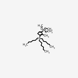 CCCCC[CH2][Pt]([CH2]CCCCC)([CH2]CCCCC)[C]1=C(C)C([Si](OC)(OC)OC)=CC1